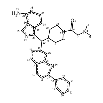 CN(C)CC(=O)N1CCC(C(c2ccc3ccc(-c4ccccc4)nc3c2)c2ncc3c(N)nccn23)CC1